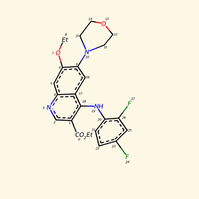 CCOC(=O)c1cnc2cc(OCC)c(N3CCOCC3)cc2c1Nc1ccc(F)cc1F